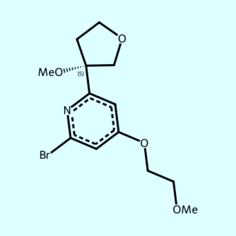 COCCOc1cc(Br)nc([C@@]2(OC)CCOC2)c1